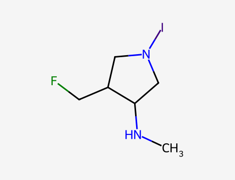 CNC1CN(I)CC1CF